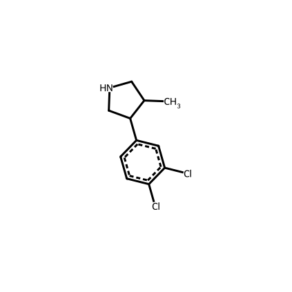 CC1CNCC1c1ccc(Cl)c(Cl)c1